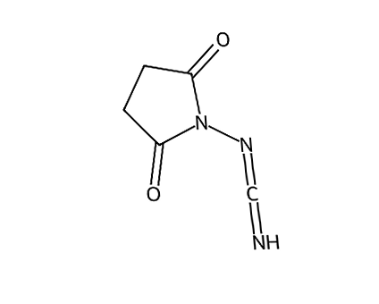 N=C=NN1C(=O)CCC1=O